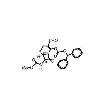 CC(C)(C)OC(=O)N[C@@H]1C(=O)N2C(OC(=O)OC(c3ccccc3)c3ccccc3)=C(C=O)CS[C@H]12